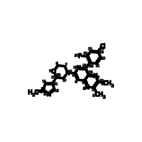 Cc1nc2cc(N3CCO[C@H](c4cnn(C)c4)C3)nc(-c3ccc(Cl)cc3F)c2nc1C